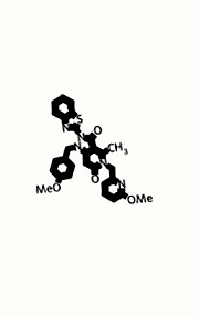 COc1ccc(Cn2c3cc(=O)n(Cc4cccc(OC)n4)c(C)c3c(=O)n2-c2nc3ccccc3s2)cc1